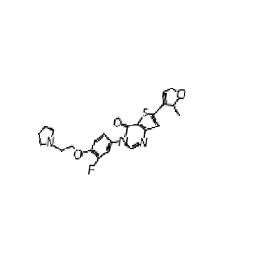 CC1OCC=C1c1cc2ncn(-c3ccc(OCCN4CCCC4)c(F)c3)c(=O)c2s1